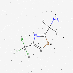 CC(C)(N)c1nc(C(F)(F)F)cs1